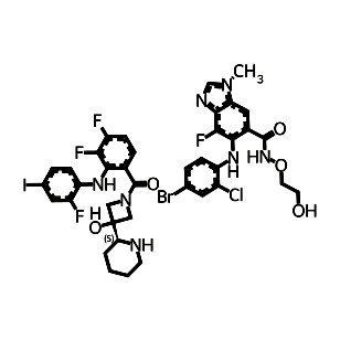 Cn1cnc2c(F)c(Nc3ccc(Br)cc3Cl)c(C(=O)NOCCO)cc21.O=C(c1ccc(F)c(F)c1Nc1ccc(I)cc1F)N1CC(O)([C@@H]2CCCCN2)C1